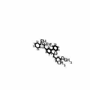 CCC(CC(=O)c1ccc(CCN(C)C2CCCCC2)cc1-c1ccccc1C)CC(=S)OC